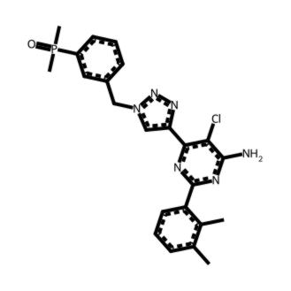 Cc1cccc(-c2nc(N)c(Cl)c(-c3cn(Cc4cccc(P(C)(C)=O)c4)nn3)n2)c1C